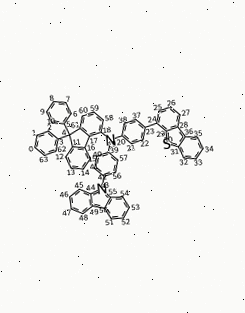 c1ccc(C2(c3ccccc3)c3ccccc3-c3c(N(c4ccc(-c5cccc6c5sc5ccccc56)cc4)c4ccc(-n5c6ccccc6c6ccccc65)cc4)cccc32)cc1